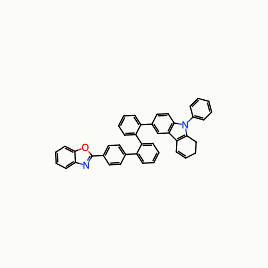 C1=Cc2c(n(-c3ccccc3)c3ccc(-c4ccccc4-c4ccccc4-c4ccc(-c5nc6ccccc6o5)cc4)cc23)CC1